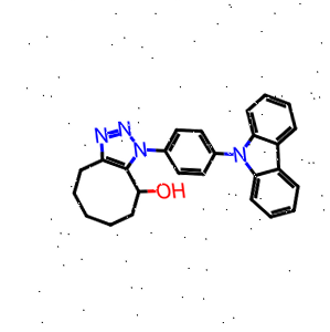 OC1CCCCCc2nnn(-c3ccc(-n4c5ccccc5c5ccccc54)cc3)c21